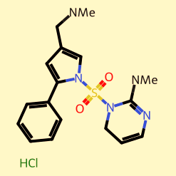 CNCc1cc(-c2ccccc2)n(S(=O)(=O)N2CC=CN=C2NC)c1.Cl